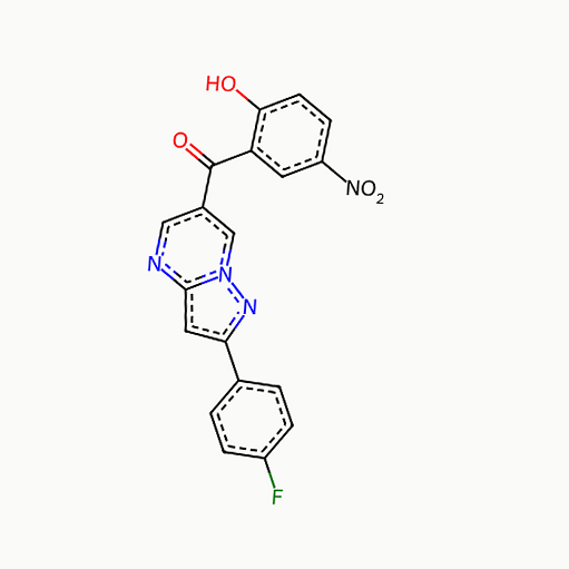 O=C(c1cnc2cc(-c3ccc(F)cc3)nn2c1)c1cc([N+](=O)[O-])ccc1O